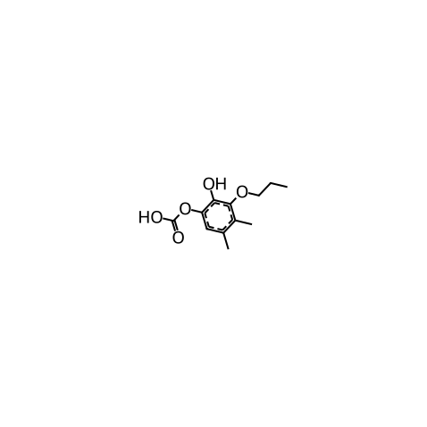 CCCOc1c(C)c(C)cc(OC(=O)O)c1O